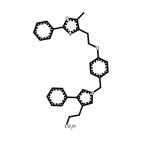 Cc1oc(-c2ccccc2)nc1CCOc1ccc(Cn2cc(CCC(=O)O)c(-c3ccccc3)c2)cc1